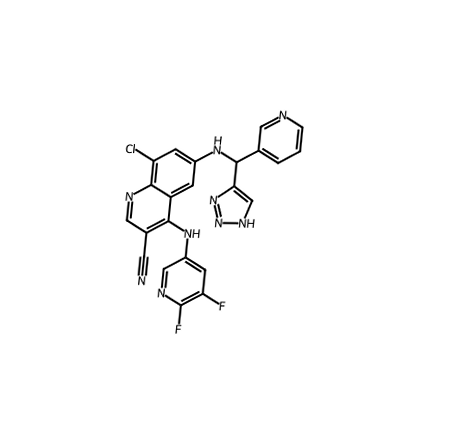 N#Cc1cnc2c(Cl)cc(NC(c3cccnc3)c3c[nH]nn3)cc2c1Nc1cnc(F)c(F)c1